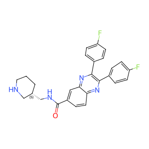 O=C(NC[C@H]1CCCNC1)c1ccc2nc(-c3ccc(F)cc3)c(-c3ccc(F)cc3)nc2c1